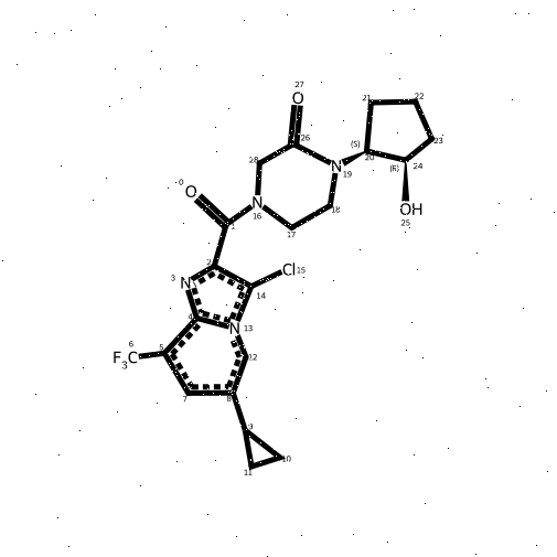 O=C(c1nc2c(C(F)(F)F)cc(C3CC3)cn2c1Cl)N1CCN([C@H]2CCC[C@H]2O)C(=O)C1